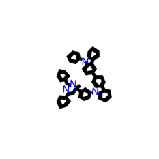 CC1(c2cccc(-n3c4ccccc4c4ccc(-c5ccc6c(c5)c5ccccc5n6-c5ccccc5)cc43)c2)CC(c2ccccc2)=NC(c2ccccc2)=N1